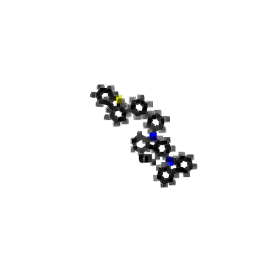 CC1CC=Cc2c1c1cc(-n3c4ccccc4c4ccccc43)ccc1n2-c1cccc(-c2cccc(-c3cccc4c3sc3ccccc34)c2)c1